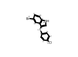 Clc1ccc(Sc2c[nH]c3ccc(Br)cc23)cc1